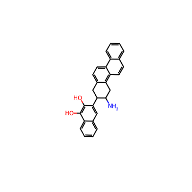 NC1Cc2c(ccc3c2ccc2ccccc23)CC1c1cc2ccccc2c(O)c1O